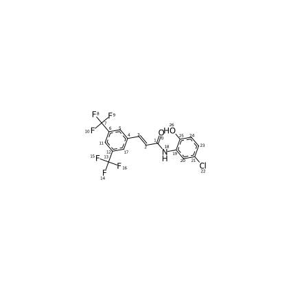 O=C(C=Cc1cc(C(F)(F)F)cc(C(F)(F)F)c1)Nc1cc(Cl)ccc1O